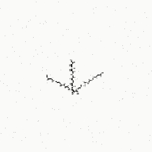 CCCCCCCCCCCCOC(=O)C(C)=C(CCCCCCCCCCCC)CCCCCCCCCCCC